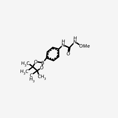 CONC(=O)Nc1ccc(B2OC(C)(C)C(C)(C)O2)cc1